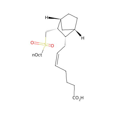 CCCCCCCCS(=O)(=O)C[C@@H]1[C@@H]2CC[C@@H](C2)[C@@H]1C/C=C\CCCC(=O)O